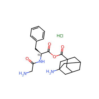 Cl.NCC(=O)N[C@@H](Cc1ccccc1)C(=O)OC(=O)C12CC3CC(CC(N)(C3)C1)C2